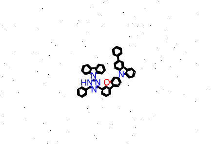 c1ccc(C2=NC(c3cccc4c3oc3cc(-n5c6ccccc6c6cc(-c7ccccc7)ccc65)ccc34)=NC(n3c4ccccc4c4ccccc43)N2)cc1